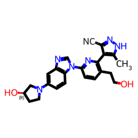 Cc1[nH]nc(C#N)c1-c1nc(-n2cnc3cc(N4CC[C@@H](O)C4)ccc32)ccc1CCO